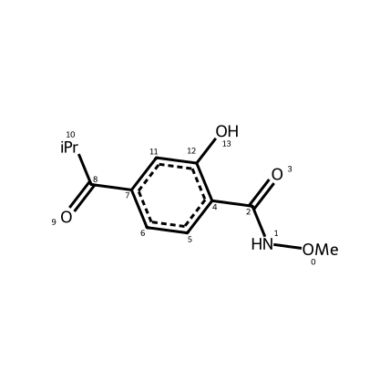 CONC(=O)c1ccc(C(=O)C(C)C)cc1O